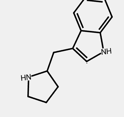 [c]1[nH]c2ccccc2c1CC1CCCN1